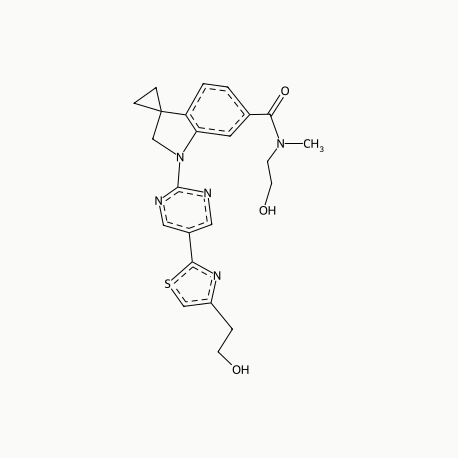 CN(CCO)C(=O)c1ccc2c(c1)N(c1ncc(-c3nc(CCO)cs3)cn1)CC21CC1